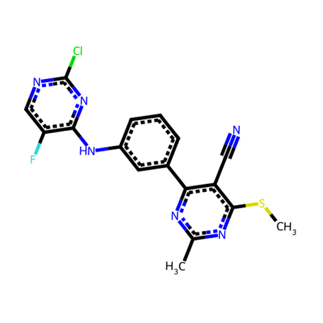 CSc1nc(C)nc(-c2cccc(Nc3nc(Cl)ncc3F)c2)c1C#N